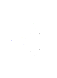 COc1ccc(-c2nc(N)sc2-c2ccc(Cl)c(Cl)c2)cc1